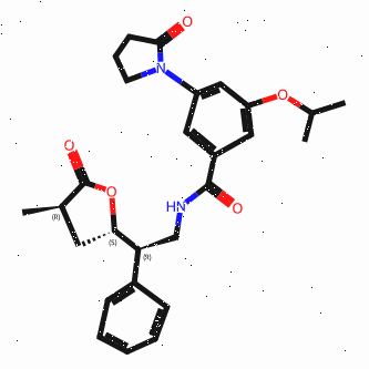 CC(C)Oc1cc(C(=O)NC[C@@H](c2ccccc2)[C@@H]2C[C@@H](C)C(=O)O2)cc(N2CCCC2=O)c1